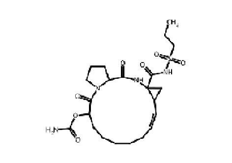 CCCS(=O)(=O)NC(=O)C12CC1/C=C\CCCCCC(OC(N)=O)C(=O)N1CCCC1C(=O)N2